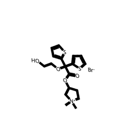 C[N+]1(C)CCC(OC(=O)C(OCCO)(c2cccs2)c2cccs2)C1.[Br-]